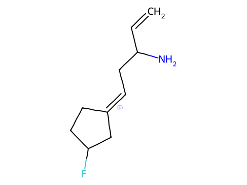 C=CC(N)C/C=C1\CCC(F)C1